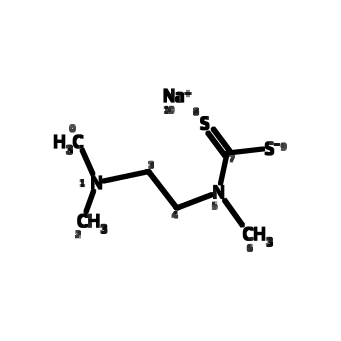 CN(C)CCN(C)C(=S)[S-].[Na+]